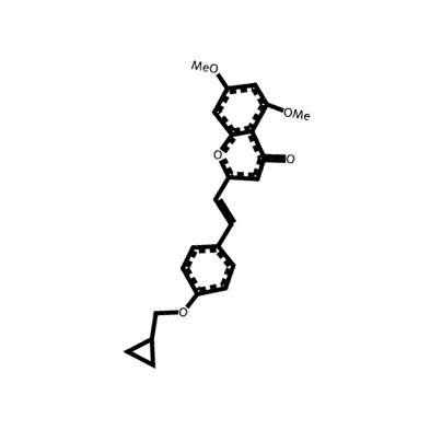 COc1cc(OC)c2c(=O)cc(/C=C/c3ccc(OCC4CC4)cc3)oc2c1